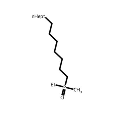 CCCCCCCCCCCCCCP(C)(=O)CC